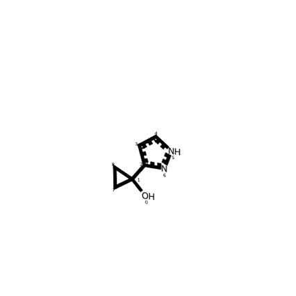 OC1(c2cc[nH]n2)CC1